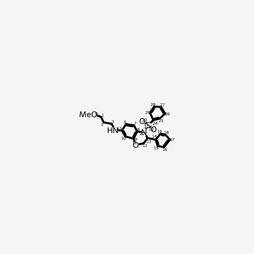 COCCCNc1ccc2c(c1)OCC(c1ccccc1)N2S(=O)(=O)c1ccccc1